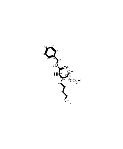 NCCCC[C@H](NC(=O)OCc1ccccc1)[C@H](O)C(=O)O